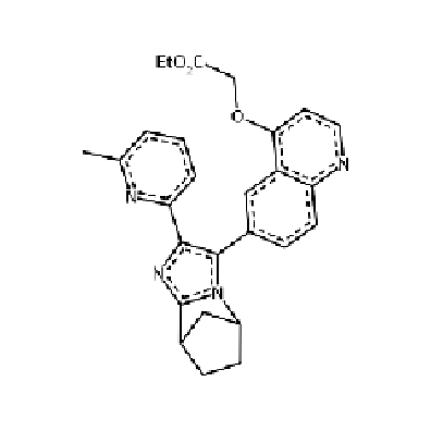 CCOC(=O)COc1ccnc2ccc(-c3c(-c4cccc(C)n4)nc4n3C3CCC4C3)cc12